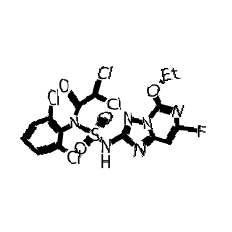 CCOc1nc(F)cc2nc(NS(=O)(=O)N(C(=O)C(Cl)Cl)c3c(Cl)cccc3Cl)nn12